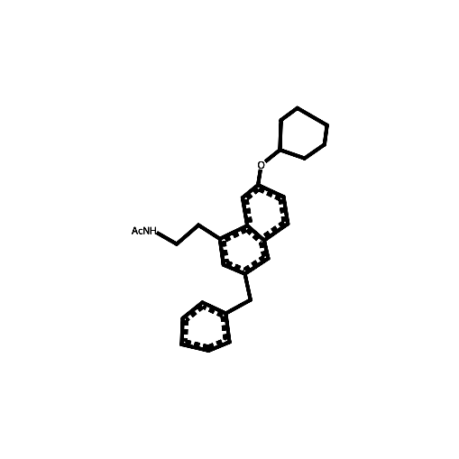 CC(=O)NCCc1cc(Cc2ccccc2)cc2ccc(OC3CCCCC3)cc12